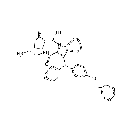 CCCNC(=O)c1c(C(c2ccccc2)c2ccc(OCc3ccccc3)cc2)c2ccccc2n1C(C)C1CCCN1